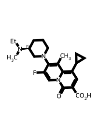 CCN(C)[C@H]1CCCN(c2c(F)cn3c(=O)c(C(=O)O)cc(C4CC4)c3c2C)C1